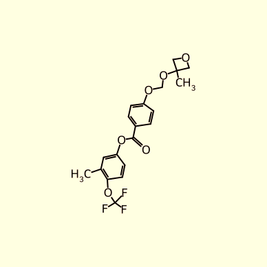 Cc1cc(OC(=O)c2ccc(OCOC3(C)COC3)cc2)ccc1OC(F)(F)F